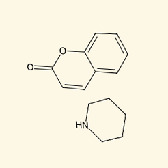 C1CCNCC1.O=c1ccc2ccccc2o1